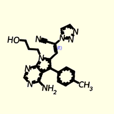 Cc1ccc(-c2c(/C=C(\C#N)n3ccnn3)n(CCCO)c3ncnc(N)c23)cc1